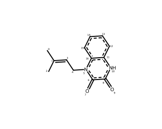 CC(C)=CCn1c(=O)c(=O)[nH]c2ccccc21